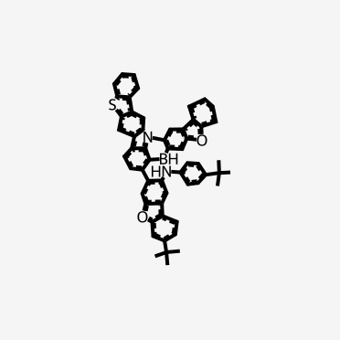 CC(C)(C)c1ccc(Nc2cc3c(cc2-c2ccc4c5cc6sc7ccccc7c6cc5n5c4c2Bc2cc4oc6ccccc6c4cc2-5)oc2cc(C(C)(C)C)ccc23)cc1